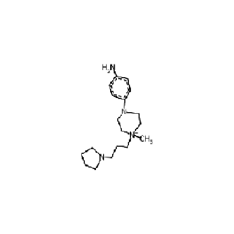 C[N+]1(CCCN2CCCC2)CCN(c2ccc(N)cc2)CC1